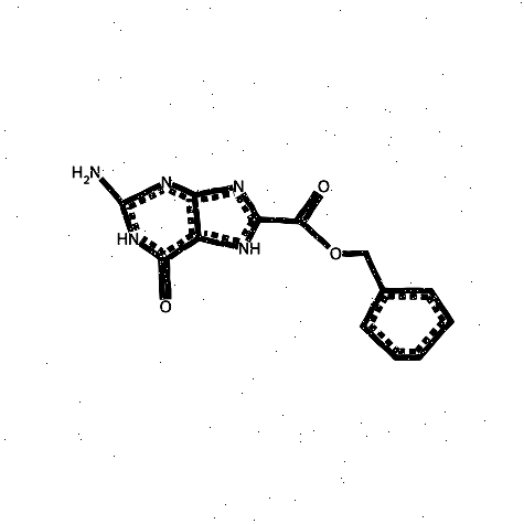 Nc1nc2nc(C(=O)OCc3ccccc3)[nH]c2c(=O)[nH]1